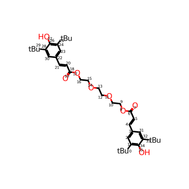 CC(C)(C)c1cc(C=CC(=O)OCCOCCOCCOC(=O)C=Cc2cc(C(C)(C)C)c(O)c(C(C)(C)C)c2)cc(C(C)(C)C)c1O